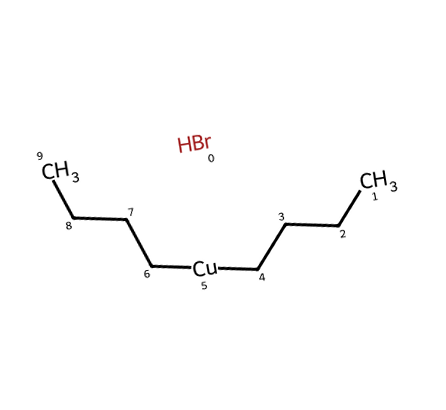 Br.CCC[CH2][Cu][CH2]CCC